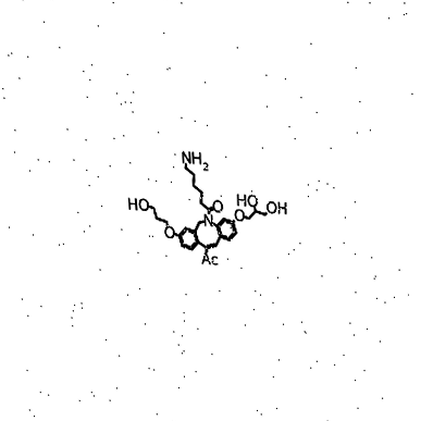 CC(=O)/C1=C/c2ccc(OCC(O)CO)cc2N(C(=O)CCCCCN)Cc2cc(OCCCO)ccc21